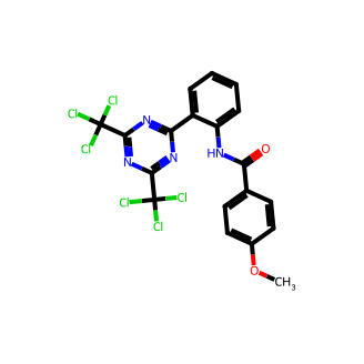 COc1ccc(C(=O)Nc2ccccc2-c2nc(C(Cl)(Cl)Cl)nc(C(Cl)(Cl)Cl)n2)cc1